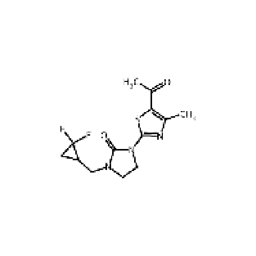 CC(=O)c1sc(N2CCN(CC3CC3(F)F)C2=O)nc1C